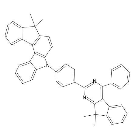 CC1(C)c2ccccc2-c2c1ccc1c2c2ccccc2n1-c1ccc(-c2nc(-c3ccccc3)c3c(n2)C(C)(C)c2ccccc2-3)cc1